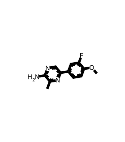 COc1ccc(-c2cnc(N)c(C)n2)cc1F